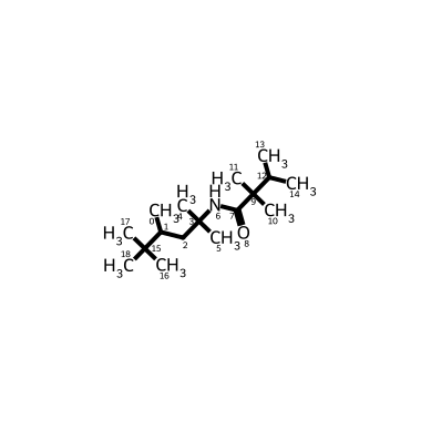 CC(CC(C)(C)NC(=O)C(C)(C)C(C)C)C(C)(C)C